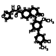 COc1cc(-c2cnc(C)c(Cl)c2)c(F)cc1-n1c(=O)ccc2cc(S(=O)(=O)Nc3ccon3)ccc21